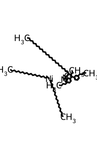 CCCCCCCCCCCCCCCCCCCCCCCCC=CC(=C=[N+]=[N-])C(CC)=C(c1ccc(CCCC)cc1)c1cccc(CCCC)c1.CCCCCCCCCCCCCCCCCC[CH2][Ni][CH2]CCCCCCCCCCCCCCCCCC